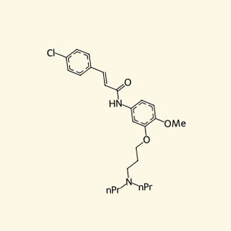 CCCN(CCC)CCCOc1cc(NC(=O)C=Cc2ccc(Cl)cc2)ccc1OC